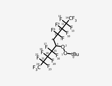 CC(C)(C)OOC(CC(F)(F)C(F)(F)C(F)(F)C(F)(F)F)C(F)(F)C(F)(F)C(F)(F)C(F)(F)F